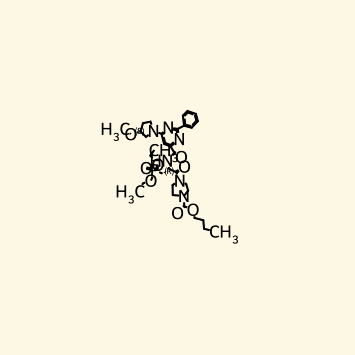 CCCCOC(=O)N1CCN(C(=O)[C@H](CP(=O)(OCC)OCC)NC(=O)c2cc(N3CC[C@H](OC)C3)nc(-c3ccccc3)n2)CC1